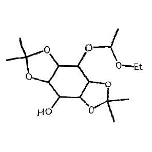 CCOC(C)OC1C2OC(C)(C)OC2C(O)C2OC(C)(C)OC21